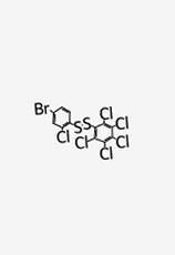 Clc1cc(Br)ccc1SSc1c(Cl)c(Cl)c(Cl)c(Cl)c1Cl